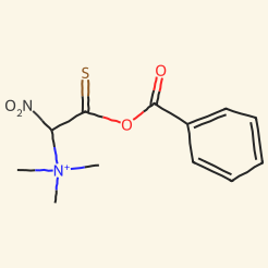 C[N+](C)(C)C(C(=S)OC(=O)c1ccccc1)[N+](=O)[O-]